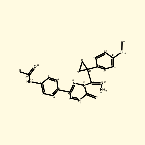 C=C1N=CC(c2ccc(NC(C)=O)cc2)=NN1/C(=N\N)C1(c2ccc(OC)cc2)CC1